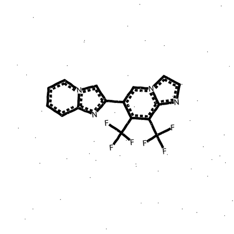 FC(F)(F)c1c(-c2cn3ccccc3n2)cn2c[c]nc2c1C(F)(F)F